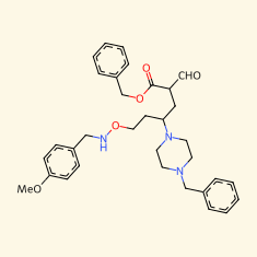 COc1ccc(CNOCCC(CC(C=O)C(=O)OCc2ccccc2)N2CCN(Cc3ccccc3)CC2)cc1